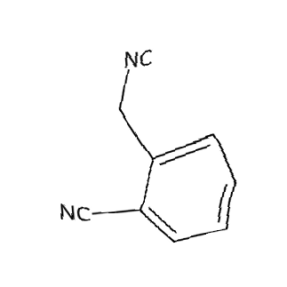 [C-]#[N+]Cc1ccccc1C#N